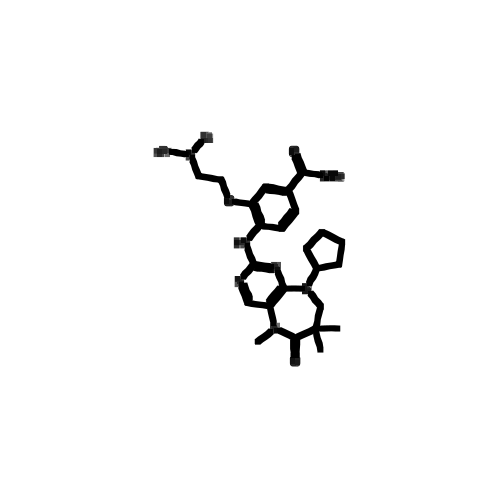 CCCN(CC)CCOc1cc(C(=O)NC)ccc1Nc1ncc2c(n1)N(C1CCCC1)CC(C)(C)C(=O)N2C